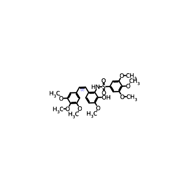 COc1ccc(/C=C\c2cc(OC)c(OC)c(OC)c2)c(NS(=O)(=O)c2cc(OC)c(OC)c(OC)c2)c1O